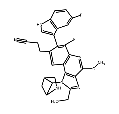 CCc1nc2c(OC)nc3c(F)c(-c4c[nH]c5ccc(F)cc45)c(CCC#N)cc3c2n1C1C2CNC1C2